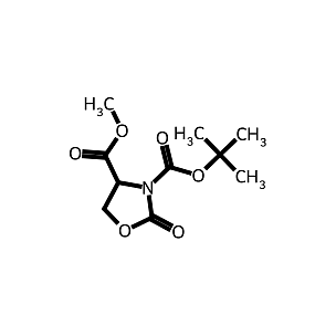 COC(=O)C1COC(=O)N1C(=O)OC(C)(C)C